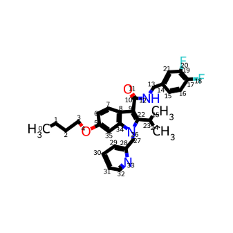 CCCCOc1ccc2c(C(=O)NCc3ccc(F)c(F)c3)c(C(C)C)n(Cc3ccccn3)c2c1